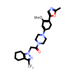 COC1=C(c2cnc(C)o2)CCC(N2CCN(C(=O)Cn3nc(C(F)(F)F)c4c3CCCC4)CC2)=C1